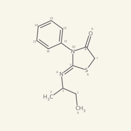 CCC(C)/N=C1\SCC(=O)N1c1ccccc1